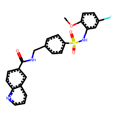 COc1ccc(F)cc1NS(=O)(=O)c1ccc(CNC(=O)c2ccc3ncccc3c2)cc1